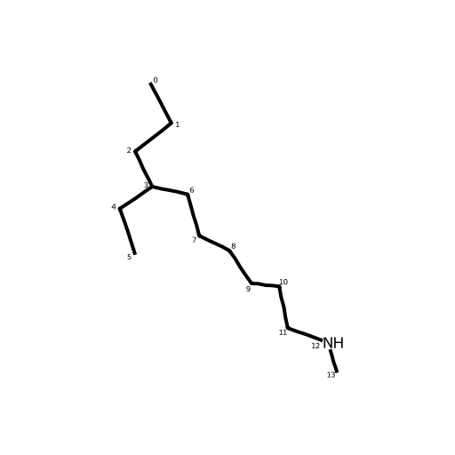 CCCC(CC)CCCCCCNC